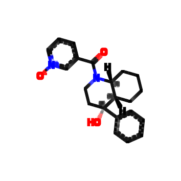 O=C(c1ccc[n+]([O-])c1)N1CC[C@](O)(c2ccccc2)[C@H]2CCCC[C@H]21